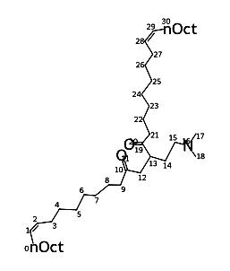 CCCCCCCC/C=C\CCCCCCCC(=O)CC(CCN(C)C)C(=O)CCCCCCC/C=C\CCCCCCCC